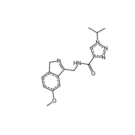 COc1ccc2c(c1)C(CNC(=O)c1cn(C(C)C)nn1)=NC2